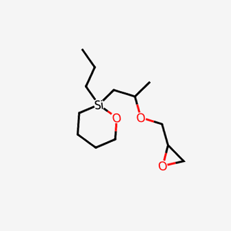 CCC[Si]1(CC(C)OCC2CO2)CCCCO1